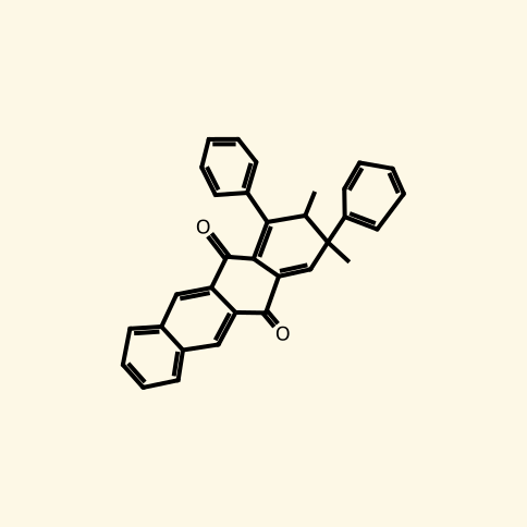 CC1C(c2ccccc2)=C2C(=O)c3cc4ccccc4cc3C(=O)C2=CC1(C)c1ccccc1